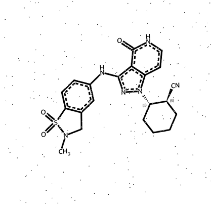 CN1Cc2cc(Nc3nn([C@H]4CCCC[C@@H]4C#N)c4cc[nH]c(=O)c34)ccc2S1(=O)=O